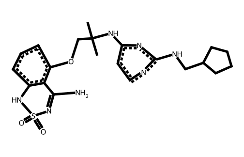 CC(C)(COc1cccc2c1C(N)=NS(=O)(=O)N2)Nc1ccnc(NCC2CCCC2)n1